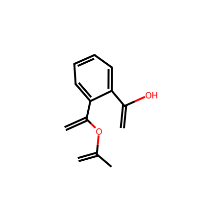 C=C(C)OC(=C)c1ccccc1C(=C)O